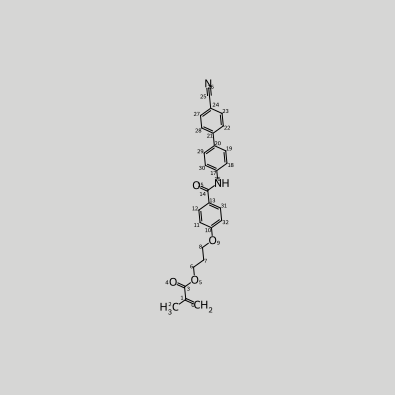 C=C(C)C(=O)OCCCOc1ccc(C(=O)Nc2ccc(-c3ccc(C#N)cc3)cc2)cc1